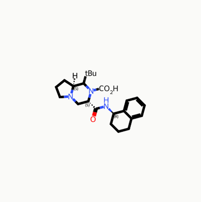 CC(C)(C)C1[C@@H]2CCCN2C[C@@H](C(=O)N[C@@H]2CCCc3ccccc32)N1C(=O)O